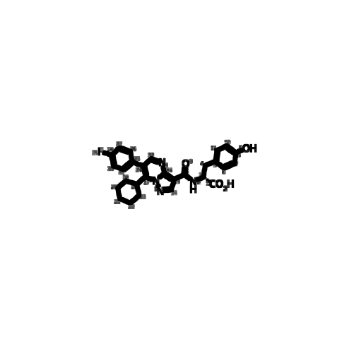 O=C(N[C@H](Cc1ccc(O)cc1)C(=O)O)c1cnn2c(C3CCCCC3)c(-c3ccc(F)cc3)cnc12